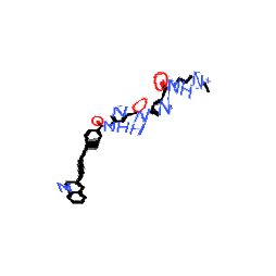 CC[N+](C)(C)CCCNC(=O)c1cc(NC(=O)c2cc(NC(=O)c3ccc(/C=C/c4cnc5ccccc5c4)cc3)cn2C)cn1C